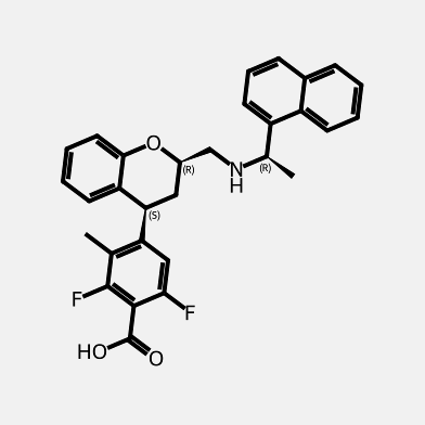 Cc1c([C@@H]2C[C@H](CN[C@H](C)c3cccc4ccccc34)Oc3ccccc32)cc(F)c(C(=O)O)c1F